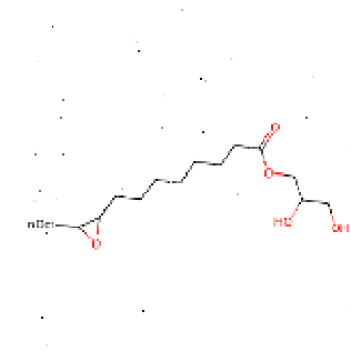 CCCCCCCCC1OC1CCCCCCCC(=O)OCC(O)CO